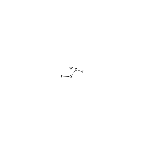 FOOF.[W]